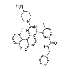 Cc1ccc(C(=O)NCc2ccccc2)cc1-c1nc(N2CCC(N)CC2)nc2c1ccc(=O)n2-c1c(F)cccc1F